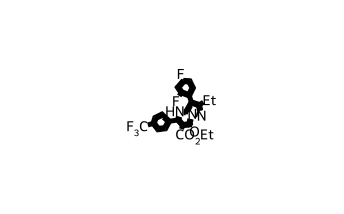 CCOC(=O)c1c(-c2ccc(C(F)(F)F)cc2)[nH]c2c(-c3ccc(F)cc3F)c(CC)nn2c1=O